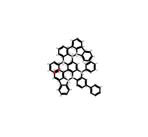 c1ccc(-c2ccc3c(c2)N(c2ccccc2)c2cc4c(c5c2B3n2c3ccccc3c3cccc-5c32)N(c2ccccc2)c2cccc3c2B4n2c4ccccc4c4cccc-3c42)cc1